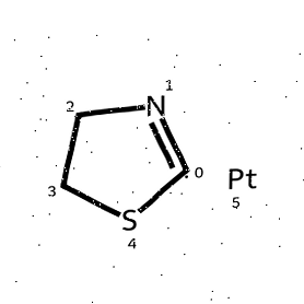 [C]1=NCCS1.[Pt]